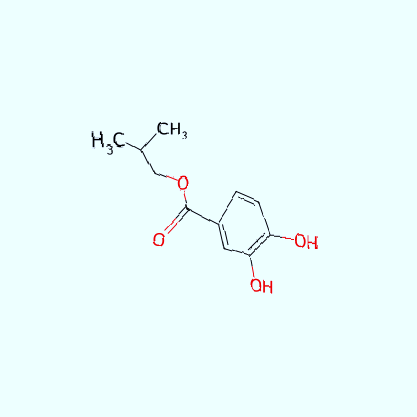 CC(C)COC(=O)c1ccc(O)c(O)c1